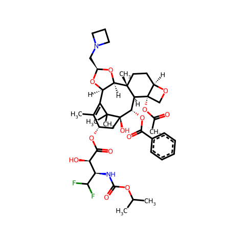 CC(=O)O[C@@]12CO[C@@H]1CC[C@@]1(C)[C@@H]3O[C@H](CN4CCC4)O[C@@H]3C3=C(C)[C@@H](OC(=O)[C@H](O)[C@@H](NC(=O)OC(C)C)C(F)F)C[C@@](O)([C@@H](OC(=O)c4ccccc4)[C@@H]12)C3(C)C